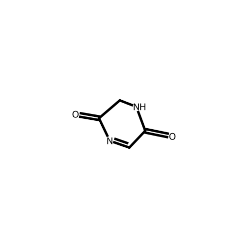 O=C1CNC(=O)C=N1